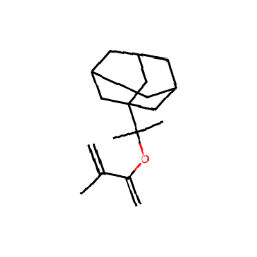 C=C(C)C(=C)OC(C)(C)C12CC3CC(CC(C3)C1)C2